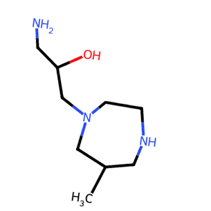 CC1CNCCN(CC(O)CN)C1